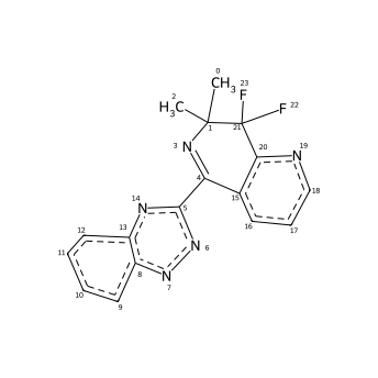 CC1(C)N=C(c2nnc3ccccc3n2)c2cccnc2C1(F)F